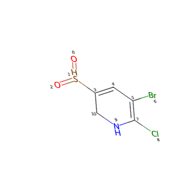 O=[SH](=O)C1=CC(Br)=C(Cl)NC1